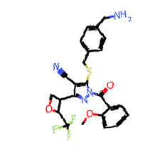 COc1ccccc1C(=O)n1nc(C2COC2C(F)(F)F)c(C#N)c1SCc1ccc(CN)cc1